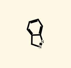 c1ccc2c(c1)CN=N2